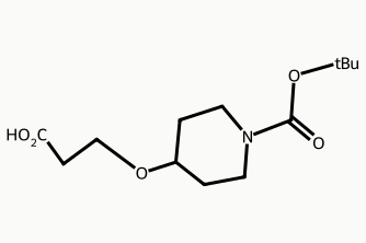 CC(C)(C)OC(=O)N1CCC(OCCC(=O)O)CC1